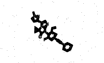 C=Cc1cc(C#Cc2ccccc2)cc(I)c1N1C(=O)C2(CC2)n2c(-c3ccn(C)n3)cnc21